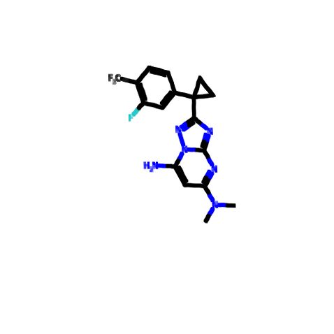 CN(C)c1cc(N)n2nc(C3(c4ccc(C(F)(F)F)c(F)c4)CC3)nc2n1